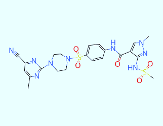 Cc1cc(C#N)nc(N2CCN(S(=O)(=O)c3ccc(NC(=O)c4cn(C)nc4NS(C)(=O)=O)cc3)CC2)n1